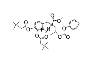 COC(=O)[C@](N)(Cc1ccc(OC(=O)CC(C)(C)C)c(OC(=O)CC(C)(C)C)c1)CC(C)OC(=O)Oc1ccccc1